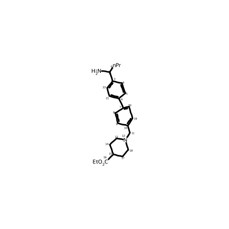 CCCC(N)c1ccc(-c2ccc(CN3CCC(C(=O)OCC)CC3)cc2)cc1